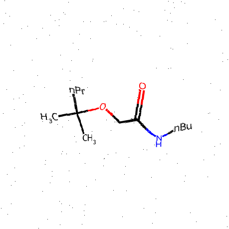 CCCCNC(=O)COC(C)(C)CCC